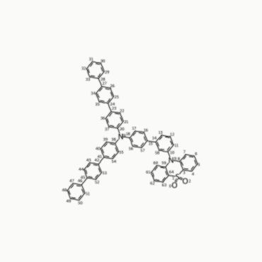 O=S1(=O)c2ccccc2N(c2cccc(-c3ccc(N(c4ccc(-c5ccc(-c6ccccc6)cc5)cc4)c4ccc(-c5ccc(-c6ccccc6)cc5)cc4)cc3)c2)c2ccccc21